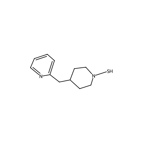 SN1CCC(Cc2ccccn2)CC1